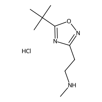 CNCCc1noc(C(C)(C)C)n1.Cl